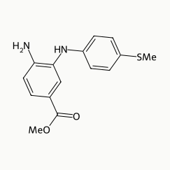 COC(=O)c1ccc(N)c(Nc2ccc(SC)cc2)c1